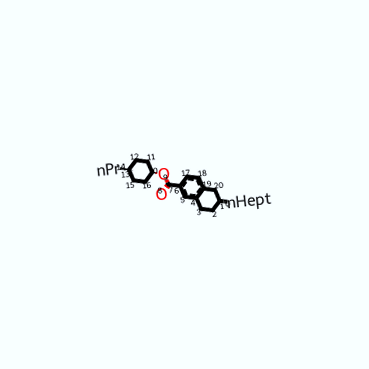 CCCCCCCC1CCc2cc(C(=O)O[C@H]3CC[C@H](CCC)CC3)ccc2C1